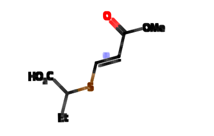 CCC(S/C=C/C(=O)OC)C(=O)O